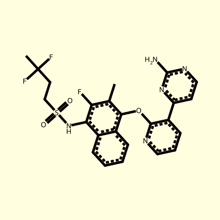 Cc1c(F)c(NS(=O)(=O)CCC(C)(F)F)c2ccccc2c1Oc1ncccc1-c1ccnc(N)n1